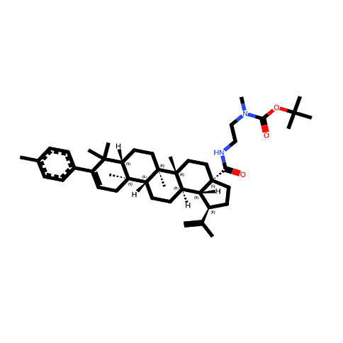 C=C(C)[C@@H]1CC[C@]2(C(=O)NCCN(C)C(=O)OC(C)(C)C)CC[C@]3(C)[C@H](CC[C@@H]4[C@@]5(C)CC=C(c6ccc(C)cc6)C(C)(C)[C@@H]5CC[C@]43C)[C@@H]12